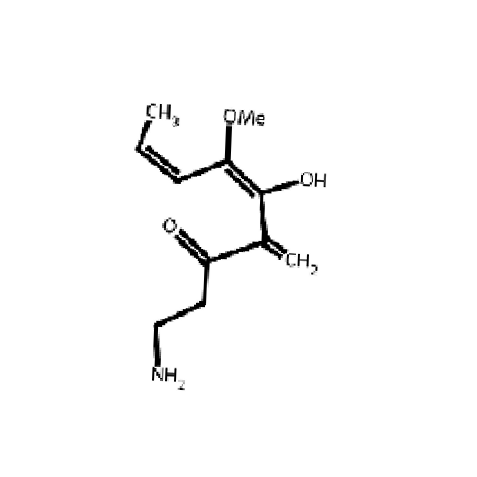 C=C(C(=O)CCN)/C(O)=C(\C=C/C)OC